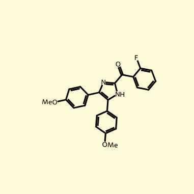 COc1ccc(-c2nc(C(=O)c3ccccc3F)[nH]c2-c2ccc(OC)cc2)cc1